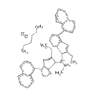 CCC1=Cc2c(-c3cccc4ccccc34)cccc2[CH]1[Zr+2]([SiH2]C)[CH]1C(CC)=Cc2c(-c3cccc4ccccc34)cccc21.CCCCCC.[Cl-].[Cl-]